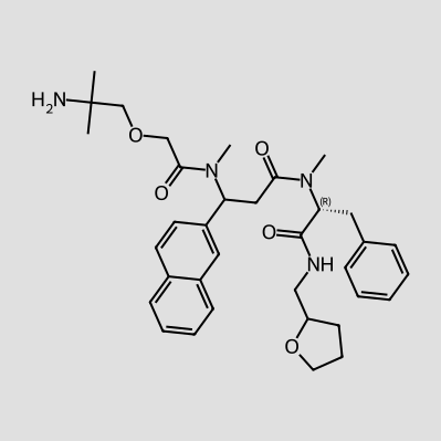 CN(C(=O)COCC(C)(C)N)C(CC(=O)N(C)[C@H](Cc1ccccc1)C(=O)NCC1CCCO1)c1ccc2ccccc2c1